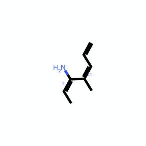 C=C/C=C(C)\C(N)=C/C